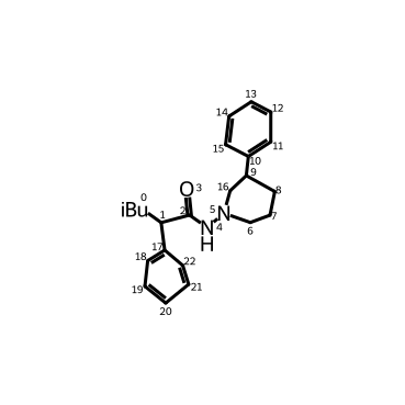 CCC(C)C(C(=O)NN1CCCC(c2ccccc2)C1)c1ccccc1